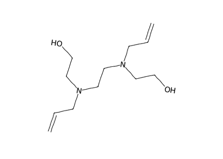 C=CCN(CCO)CCN(CC=C)CCO